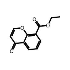 CCOC(=O)c1cccc2c(=O)ccoc12